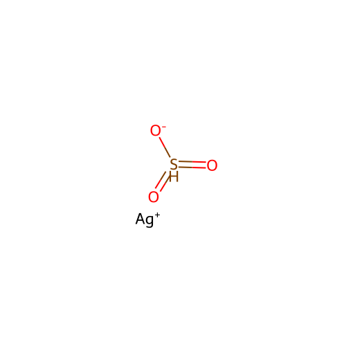 O=[SH](=O)[O-].[Ag+]